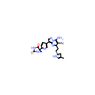 CC(=O)c1c(CC[C@H]2CC(C)=CN2)nc2c(-c3ccc(C4(C)NC(=O)NC4=O)nc3)cnn2c1N